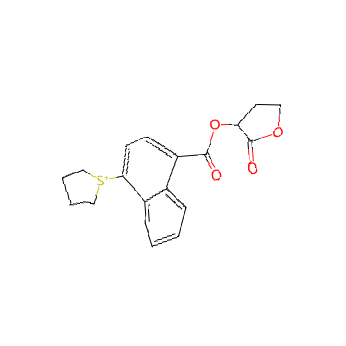 O=C(OC1CCOC1=O)c1ccc([S+]2CCCC2)c2ccccc12